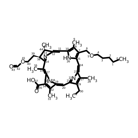 CCCCCOCc1c(C)c2cc3nc(c(C)c4[nH]c(cc5nc(cc1[nH]2)C(C)=C5CC)c(C)c4C(=O)O)[C@@H](CCOC=O)[C@@H]3C